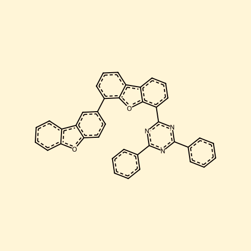 c1ccc(-c2nc(-c3ccccc3)nc(-c3cccc4c3oc3c(-c5ccc6oc7ccccc7c6c5)cccc34)n2)cc1